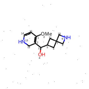 COC1=C(C(O)C2CC3(CNC3)C2)CNC=C1